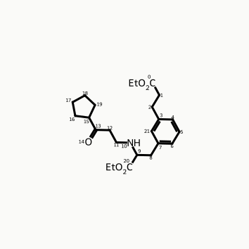 CCOC(=O)CCc1cccc(CC(NCCC(=O)C2CCCC2)C(=O)OCC)c1